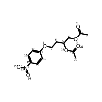 CC(=O)OCC(CCOc1ccc([N+](=O)[O-])cc1)OC(C)=O